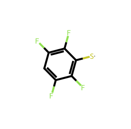 Fc1cc(F)c(F)c([S])c1F